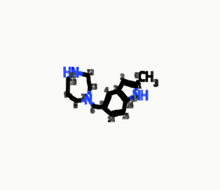 Cc1cc2cc(CN3CCCNCC3)ccc2[nH]1